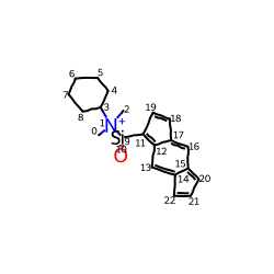 C[N+](C)(C1CCCCC1)[Si](=O)C1=c2cc3c(cc2C=C1)=CC=C3